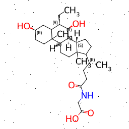 CC[C@@H]1C2C[C@H](O)CCC2(C)[C@H]2CCC3(C)C([C@H](C)CCC(=O)NCC(=O)O)CC[C@H]3[C@@H]2[C@@H]1O